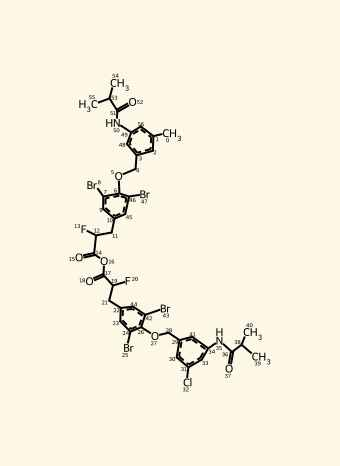 Cc1cc(COc2c(Br)cc(CC(F)C(=O)OC(=O)C(F)Cc3cc(Br)c(OCc4cc(Cl)cc(NC(=O)C(C)C)c4)c(Br)c3)cc2Br)cc(NC(=O)C(C)C)c1